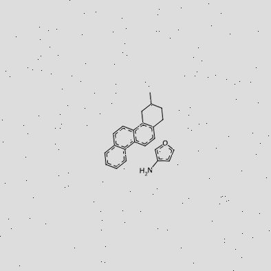 CC1CCc2ccc3c(ccc4ccccc43)c2C1.Nc1ccoc1